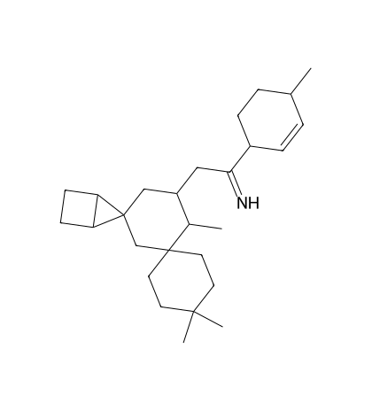 CC1C=CC(C(=N)CC2CC3(CC4(CCC(C)(C)CC4)C2C)C2CCC23)CC1